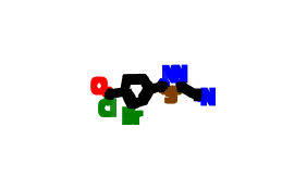 N#Cc1nnc(-c2ccc(C(=O)Cl)c(Br)c2)s1